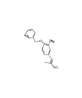 COc1cc(/C=C(\C)[N+](=O)[O-])ccc1OCc1ccccc1